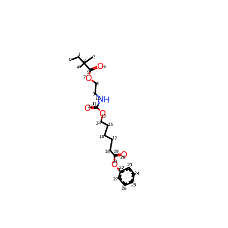 CCC(C)(C)C(=O)OCCNC(=O)OCCCCCC(=O)Oc1ccccc1